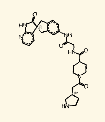 O=C(CNC(=O)C1CCN(C(=O)C[C@H]2CCNC2)CC1)Nc1ccc2c(c1)C[C@@]1(C2)C(=O)Nc2ncccc21